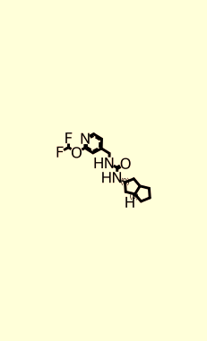 O=C(NCc1ccnc(OC(F)F)c1)N[C@@H]1CC2CCC[C@H]2C1